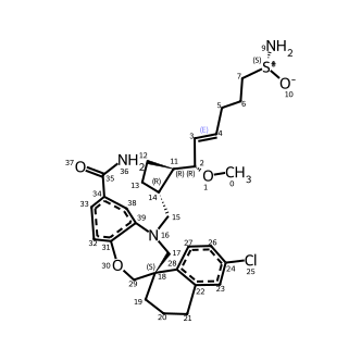 CO[C@@H](/C=C/CCC[S@+](N)[O-])[C@@H]1CC[C@H]1CN1C[C@@]2(CCCc3cc(Cl)ccc32)COc2ccc(C(N)=O)cc21